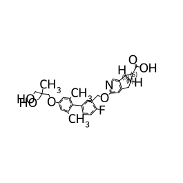 Cc1cc(OCC(C)(CO)CO)cc(C)c1-c1ccc(F)c(COc2cc3c(cn2)[C@H]2[C@@H](C3)[C@@H]2C(=O)O)c1